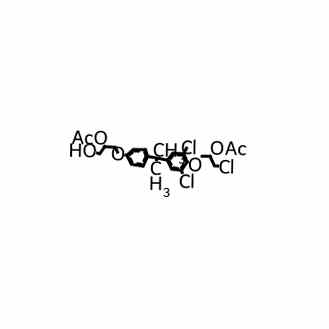 CC(=O)OC(CO)COc1ccc(C(C)(C)c2cc(Cl)c(OCC(CCl)OC(C)=O)c(Cl)c2)cc1